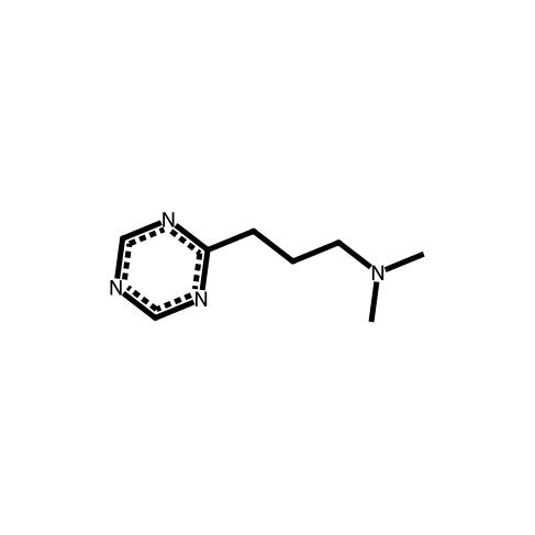 CN(C)CCCc1ncncn1